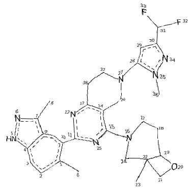 Cc1ccc2[nH]nc(C)c2c1-c1nc2c(c(N3CCC4OCC4(C)C3)n1)CN(c1cc(C(F)F)nn1C)CC2